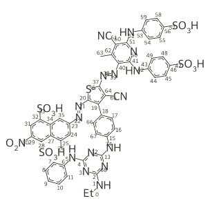 CCNc1nc(Nc2ccccc2)nc(Nc2ccc(-c3c(/N=N/c4cc(S(=O)(=O)O)c5cc([N+](=O)[O-])cc(S(=O)(=O)O)c5c4)sc(N=Nc4c(Nc5ccc(S(=O)(=O)O)cc5)nc(Nc5ccc(S(=O)(=O)O)cc5)c(C#N)c4C)c3C#N)cc2)n1